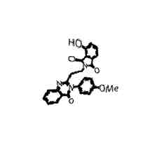 COc1ccc(-n2c(CCN3C(=O)c4cccc(O)c4C3=O)nc3ccccc3c2=O)cc1